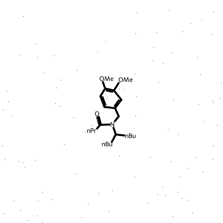 CCCCC(CCCC)N(Cc1ccc(OC)c(OC)c1)C(=O)CCC